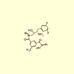 CCCN(CCC)C(=O)c1cc(C)cc(C(=O)N(C[C@@H](O)[C@@H](N)Cc2cc(F)cc(F)c2)[C@H](C)CC)c1